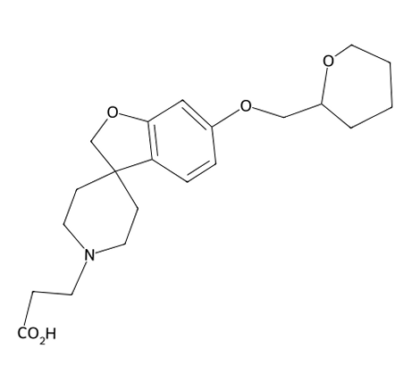 O=C(O)CCN1CCC2(CC1)COc1cc(OCC3CCCCO3)ccc12